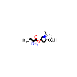 C[SiH2]N1C[C@H](OC(=O)[C@@H](N)CC(=O)O)C[C@H]1C(=O)O